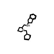 C1=CCC(CN2CCCC2CNC2Cc3ccccc3C2)C=C1